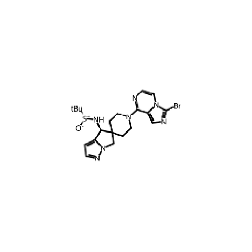 CC(C)(C)[S@@+]([O-])N[C@@H]1c2ccnn2CC12CCN(c1nccn3c(Br)ncc13)CC2